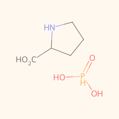 O=C(O)C1CCCN1.O=[PH](O)O